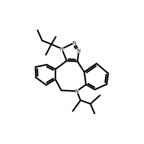 CCC(C)(C)n1nnc2c1-c1ccccc1CN(C(C)C(C)C)c1ccccc1-2